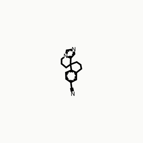 N#Cc1ccc2c(c1)CCCC21CCCn2cncc21